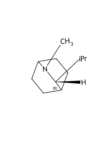 CC(C)[C@@H]1C2CCC(CC2)N1C